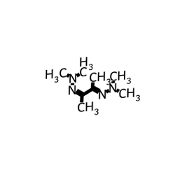 CC(=NN(C)C)C(C)=NN(C)C